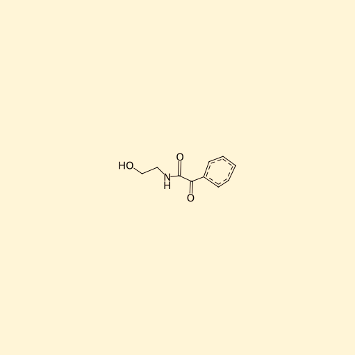 O=C(NCCO)C(=O)c1ccccc1